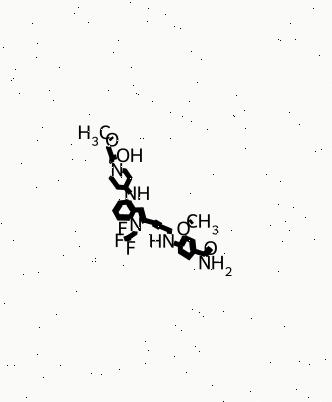 COCC(O)CN1CCC(Nc2cccc3c2cc(C#CCNc2ccc(C(N)=O)cc2OC)n3CC(F)(F)F)CC1